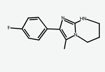 Cc1c(-c2ccc(F)cc2)nc2n1CCCN2